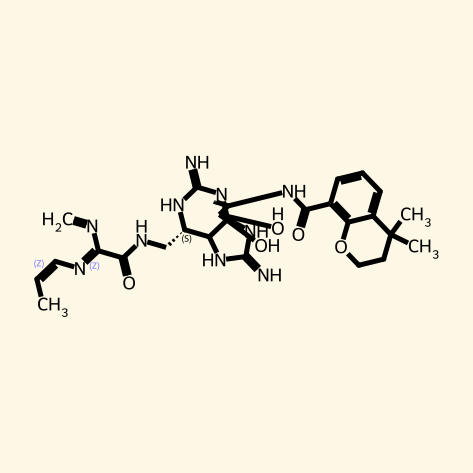 C=N/C(=N\C=C/C)C(=O)NC[C@@H]1NC(=N)N2CC(NC(=O)c3cccc4c3OCCC4(C)C)C(O)(O)C23NC(=N)NC13